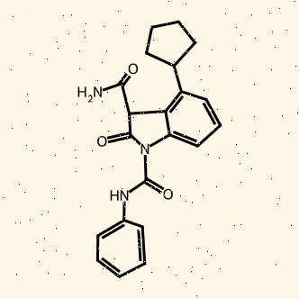 NC(=O)C1C(=O)N(C(=O)Nc2ccccc2)c2cccc(C3CCCC3)c21